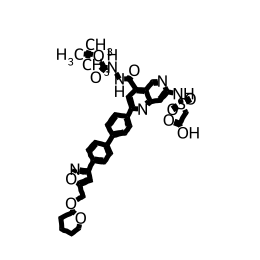 CC(C)(C)OC(=O)NNC(=O)c1cc(-c2ccc(-c3ccc(-c4cc(COC5CCCCO5)on4)cc3)cc2)nc2cc(NS(=O)(=O)CC(=O)O)ncc12